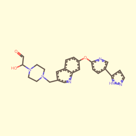 O=CC(O)N1CCN(Cc2cnc3cc(Oc4ccc(-c5ccn[nH]5)cn4)ccc3c2)CC1